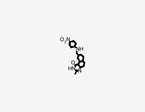 Cc1nc2ccc3ccc(CNc4ccc([N+](=O)[O-])cc4)cc3c2c(=O)[nH]1